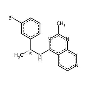 Cc1nc(N[C@H](C)c2cccc(Br)c2)c2ccncc2n1